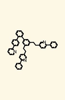 c1ccc(-c2ccc(CCc3cc(CCc4ccc(-c5ccccc5)nc4)cc(-c4ccccc4-c4ccc(-c5ccccn5)cc4)c3)cn2)cc1